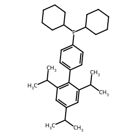 CC(C)c1cc(C(C)C)c(-c2ccc(P(C3CCCCC3)C3CCCCC3)cc2)c(C(C)C)c1